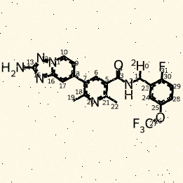 [2H]C(NC(=O)c1cc(-c2ccn3nc(N)nc3c2)c(C)nc1C)c1cc(OC(F)(F)F)ccc1F